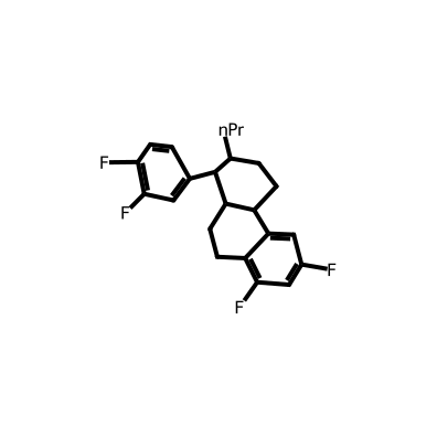 CCCC1CCC2c3cc(F)cc(F)c3CCC2C1c1ccc(F)c(F)c1